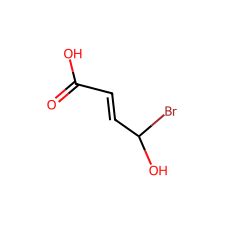 O=C(O)/C=C/C(O)Br